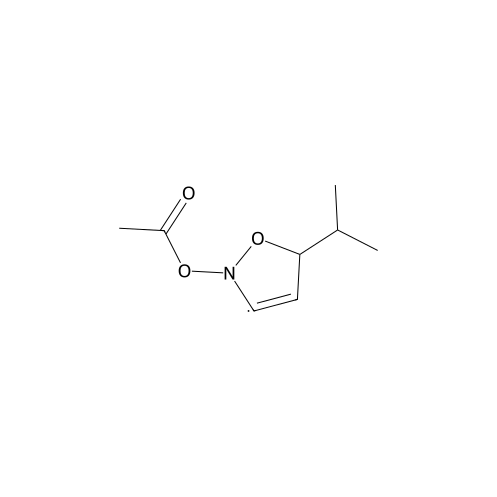 CC(=O)ON1[C]=CC(C(C)C)O1